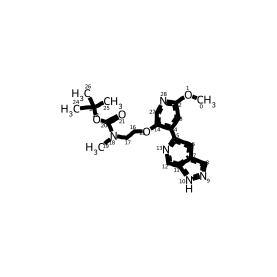 COc1cc(-c2cc3cn[nH]c3cn2)c(OCCN(C)C(=O)OC(C)(C)C)cn1